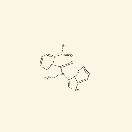 CCN(C(=O)c1ccccc1C(N)=O)c1c[nH]c2ccccc12